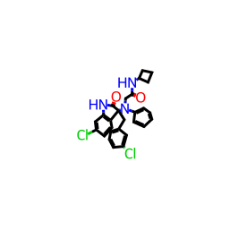 O=C(CN(c1ccccc1)C1(Cc2cccc(Cl)c2)C(=O)Nc2cc(Cl)ccc21)NC1CCC1